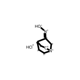 Cl.ON=C1CN2CCC1CC2